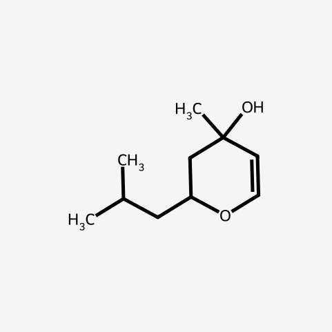 CC(C)CC1CC(C)(O)C=CO1